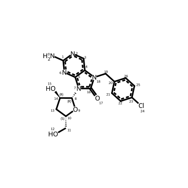 Nc1ncc2c(n1)n([C@@H]1O[C@H](CO)C[C@H]1O)c(=O)n2Cc1ccc(Cl)cc1